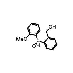 COc1ccccc1[PH](=O)c1ccccc1CO